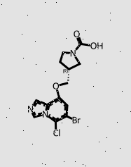 O=C(O)N1CC[C@@H](COc2cc(Br)c(Cl)n3cncc23)C1